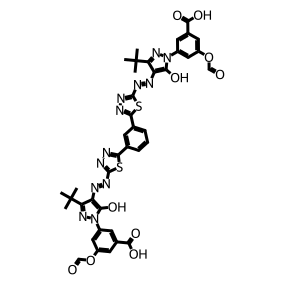 CC(C)(C)c1nn(-c2cc(OC=O)cc(C(=O)O)c2)c(O)c1N=Nc1nnc(-c2cccc(-c3nnc(N=Nc4c(C(C)(C)C)nn(-c5cc(OC=O)cc(C(=O)O)c5)c4O)s3)c2)s1